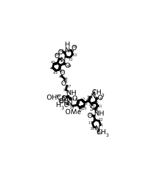 COc1cc(-c2cn(C)c(=O)c3cc(NC(=O)C4CCN(C)CC4)sc23)cc(OC)c1CN(C)CC(=O)NCCOCCOc1cccc2c1C(=O)N(C1CCC(=O)NC1=O)C2=O.O=CO